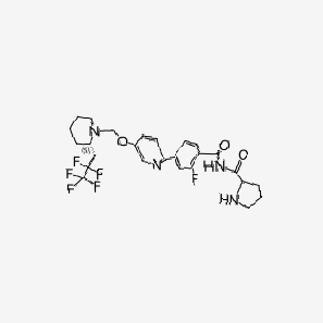 O=C(NC(=O)C1CCCN1)c1ccc(-c2ccc(OCN3CCCC[C@H]3CC(F)(F)C(F)(F)F)cn2)cc1F